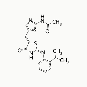 CC(=O)Nc1ncc(C=C2SC(=Nc3ccccc3C(C)C)NC2=O)s1